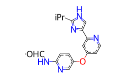 CC(C)c1nc(-c2cc(Oc3ccc(N[C]=O)nc3)ccn2)c[nH]1